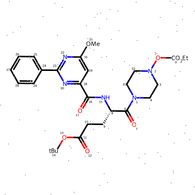 CCOC(=O)ON1CCN(C(=O)[C@H](CCC(=O)OC(C)(C)C)NC(=O)c2cc(OC)nc(-c3ccccc3)n2)CC1